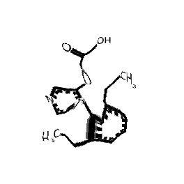 CCc1cccc(CC)c1-n1cncc1OC(=O)O